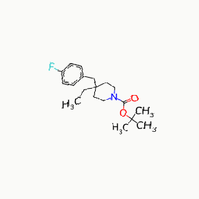 CCC1(Cc2ccc(F)cc2)CCN(C(=O)OC(C)(C)C)CC1